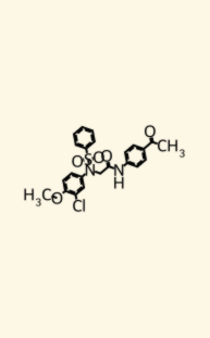 COc1ccc(N(CC(=O)Nc2ccc(C(C)=O)cc2)S(=O)(=O)c2ccccc2)cc1Cl